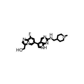 CN1CCC(CNc2ncc3c(-c4cc(F)c5ncc(CO)n5c4)c[nH]c3n2)CC1